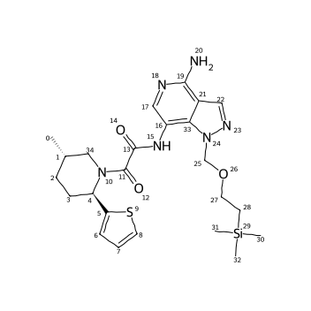 C[C@H]1CC[C@H](c2cccs2)N(C(=O)C(=O)Nc2cnc(N)c3cnn(COCC[Si](C)(C)C)c23)C1